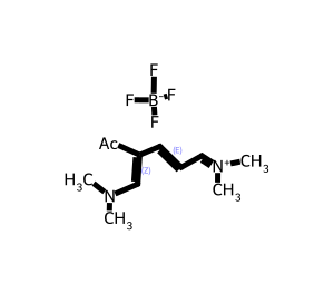 CC(=O)C(=C\N(C)C)/C=C/C=[N+](C)C.F[B-](F)(F)F